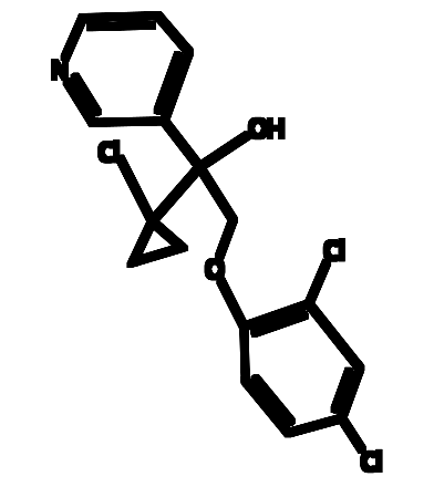 OC(COc1ccc(Cl)cc1Cl)(c1cccnc1)C1(Cl)CC1